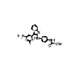 CNC(=O)Nc1ccc(Nc2nc3ccccn3c2-c2cc(N)nc(C)n2)cc1